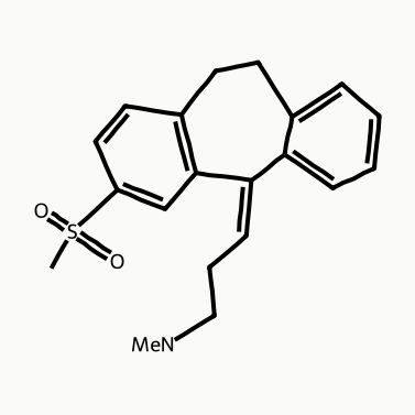 CNCCC=C1c2ccccc2CCc2ccc(S(C)(=O)=O)cc21